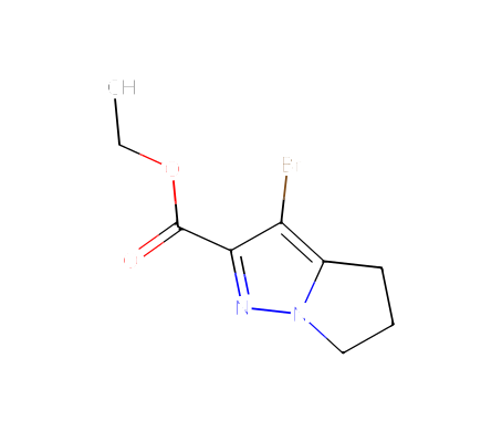 CCOC(=O)c1nn2c(c1Br)CCC2